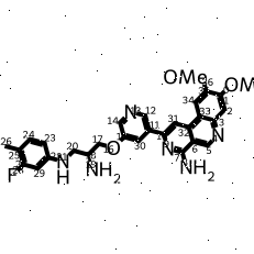 COc1cc2ncc3c(N)nc(-c4cncc(OC[C@@H](N)CNc5ccc(C)c(F)c5)c4)cc3c2cc1OC